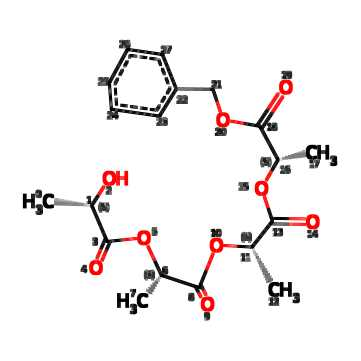 C[C@H](O)C(=O)O[C@@H](C)C(=O)O[C@@H](C)C(=O)O[C@@H](C)C(=O)OCc1ccccc1